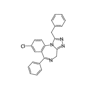 Clc1ccc2c(c1)C(c1ccccc1)=NCc1nnc(Cc3ccccc3)n1-2